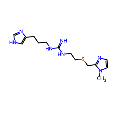 Cn1ccnc1CSCCNC(=N)NCCCc1c[nH]cn1